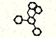 c1ccc(Cc2c(-c3ccccc3)cc(-c3ccccc3)cc2-c2ccccc2)cc1